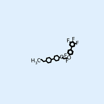 CCCC1CCC(C2CCC(OCC(F)(F)Oc3ccc(-c4cc(F)c(F)c(F)c4)cc3)CC2)CC1